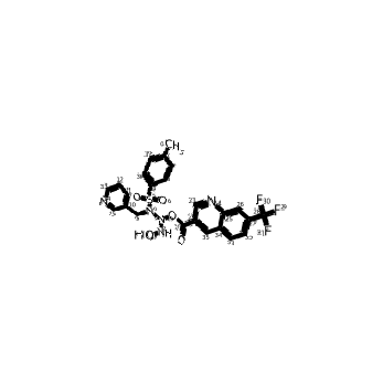 Cc1ccc(S(=O)(=O)N(Cc2cccnc2)N(NO)OC(=O)c2cnc3cc(C(F)(F)F)ccc3c2)cc1